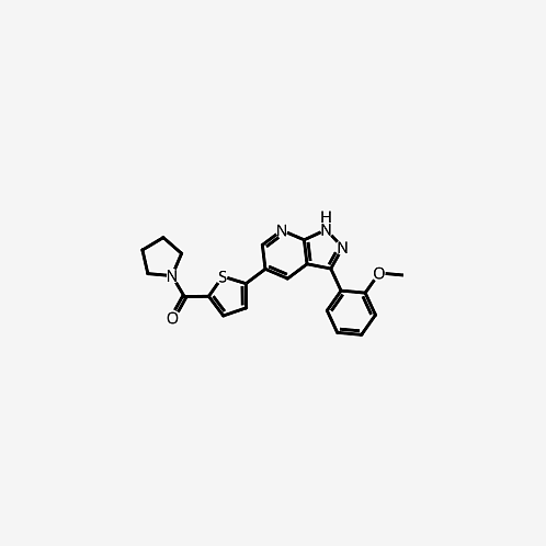 COc1ccccc1-c1n[nH]c2ncc(-c3ccc(C(=O)N4CCCC4)s3)cc12